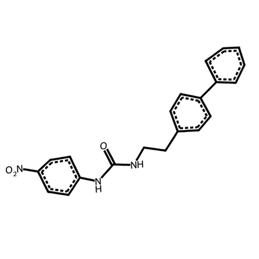 O=C(NCCc1ccc(-c2ccccc2)cc1)Nc1ccc([N+](=O)[O-])cc1